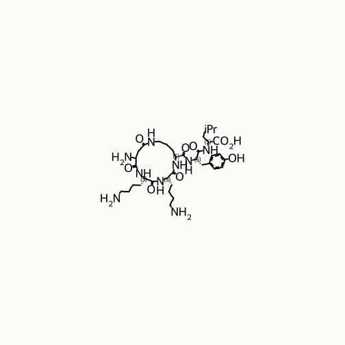 CC(C)C[C@H](NC(=O)[C@H](Cc1ccc(O)cc1)NC(=O)[C@@H]1CCCNC(=O)CC(N)C(=O)N[C@@H](CCCCN)C(=O)N[C@@H](CCCCN)C(=O)N1)C(=O)O